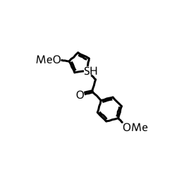 COC1=C[SH](CC(=O)c2ccc(OC)cc2)C=C1